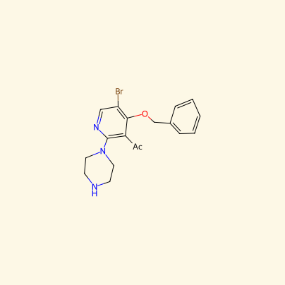 CC(=O)c1c(N2CCNCC2)ncc(Br)c1OCc1ccccc1